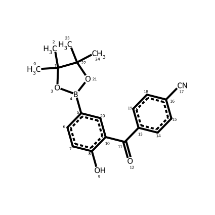 CC1(C)OB(c2ccc(O)c(C(=O)c3ccc(C#N)cc3)c2)OC1(C)C